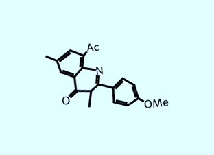 COc1ccc(C2=Nc3c(C(C)=O)cc(C)cc3C(=O)C2C)cc1